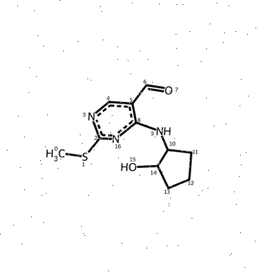 CSc1ncc(C=O)c(NC2CCCC2O)n1